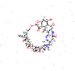 CO[C@H]1/C=C/O[C@@]2(C)Oc3c(C)c(O)c4c(c3C2=O)C(=O)C(/C=N/N2CCN(C)CC2)=C(NC(=O)/C(C)=C\C=C\[C@H](C)[C@H](O)[C@@H](C)[C@@H](O)[C@@H](C)[C@H](O)[C@@H]1C)C4=O